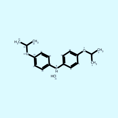 CC(C)Oc1ccc(Pc2ccc(OC(C)C)cc2)cc1.Cl